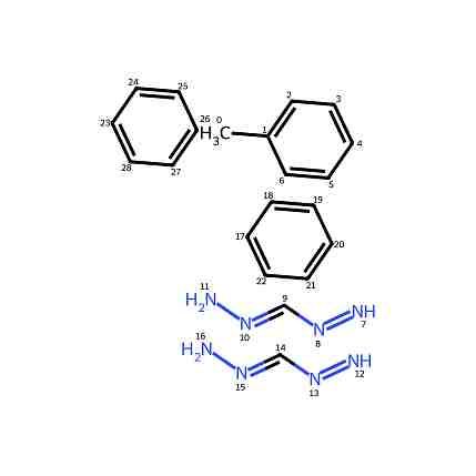 Cc1ccccc1.N=NC=NN.N=NC=NN.c1ccccc1.c1ccccc1